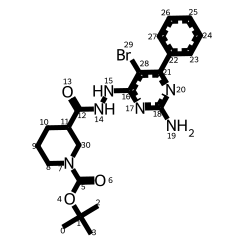 CC(C)(C)OC(=O)N1CCCC(C(=O)NNc2nc(N)nc(-c3ccccc3)c2Br)C1